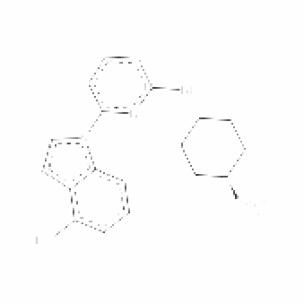 CCOC(=O)[C@H]1CC[C@H](Nc2nccc(-n3ccc4c(C)cccc43)n2)CC1